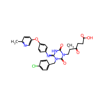 Cc1ccc(Oc2ccc(/N=c3\[nH]c(=O)n(C[C@H](C)C(=O)CCC(=O)O)c(=O)n3Cc3ccc(Cl)cc3)cc2)cn1